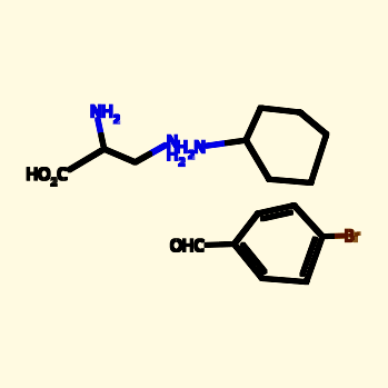 NC1CCCCC1.NCC(N)C(=O)O.O=Cc1ccc(Br)cc1